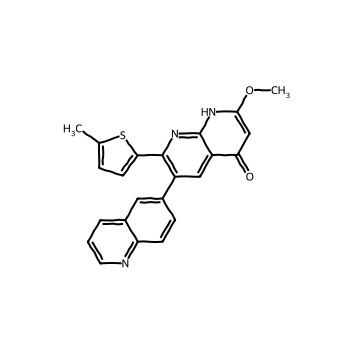 COc1cc(=O)c2cc(-c3ccc4ncccc4c3)c(-c3ccc(C)s3)nc2[nH]1